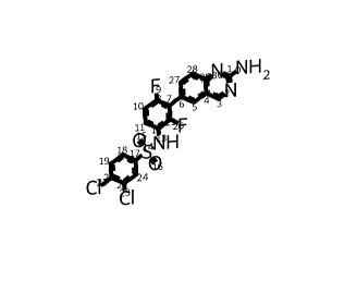 Nc1ncc2cc(-c3c(F)ccc(NS(=O)(=O)c4ccc(Cl)c(Cl)c4)c3F)ccc2n1